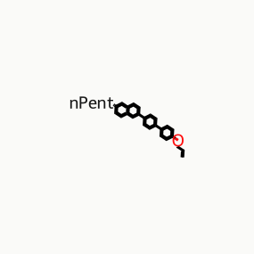 C=CCOc1ccc(-c2ccc(-c3ccc4cc(CCCCC)ccc4c3)cc2)cc1